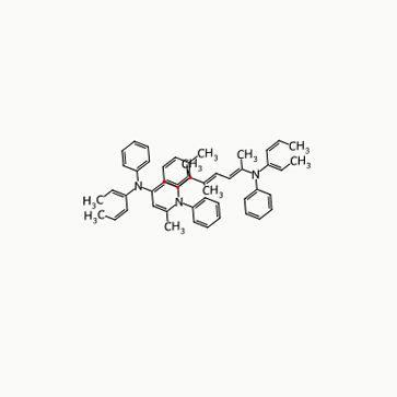 C/C=C\C(=C/C)N(/C(C)=C/C=C(C)/C(C)=C/C=C(\C=C(\C)N(c1ccccc1)c1cccc(C)c1)N(C(/C=C\C)=C/C)c1ccccc1)c1ccccc1